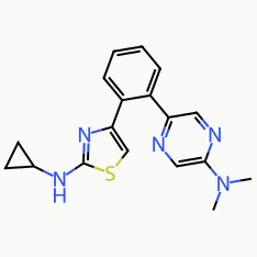 CN(C)c1cnc(-c2ccccc2-c2csc(NC3CC3)n2)cn1